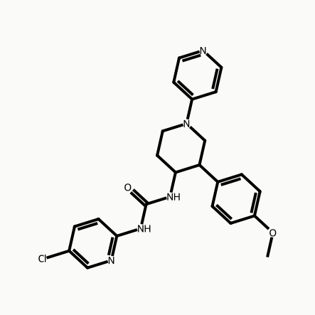 COc1ccc(C2CN(c3ccncc3)CCC2NC(=O)Nc2ccc(Cl)cn2)cc1